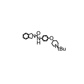 CC(C)(C)N1CCC(Oc2ccc(NC(=O)N3Cc4ccccc4C3)cc2)CC1